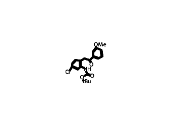 COc1cccc(C(=O)Cc2ccc(Cl)cc2NC(=O)OC(C)(C)C)c1